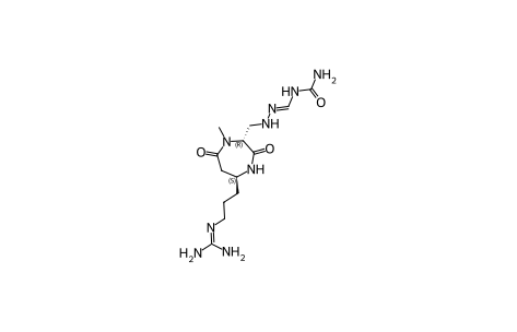 CN1C(=O)C[C@H](CCCN=C(N)N)NC(=O)[C@H]1CNN=CNC(N)=O